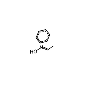 CC=NO.c1ccccc1